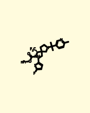 CCCOC(=O)N[C@H](C(F)(F)F)C1(CCc2ccc(F)s2)CCN(C(C)(C)c2ccc(C)nc2)C1